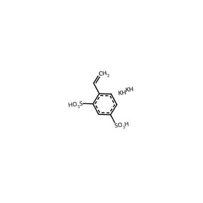 C=Cc1ccc(S(=O)(=O)O)cc1S(=O)(=O)O.[KH].[KH]